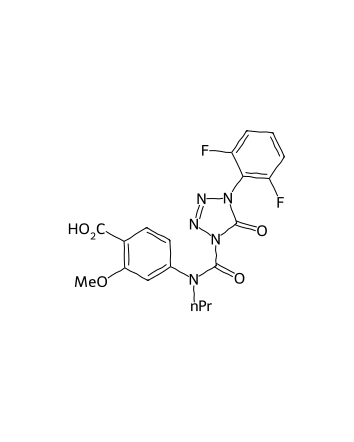 CCCN(C(=O)n1nnn(-c2c(F)cccc2F)c1=O)c1ccc(C(=O)O)c(OC)c1